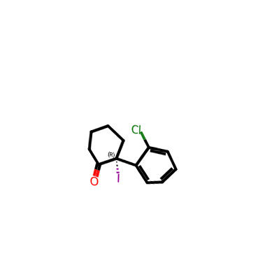 O=C1CCCC[C@@]1(I)c1ccccc1Cl